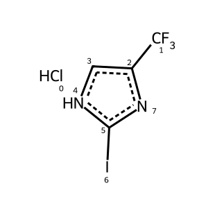 Cl.FC(F)(F)c1c[nH]c(I)n1